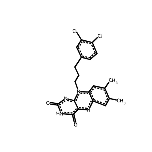 Cc1cc2nc3c(=O)[nH]c(=O)nc-3n(CCCc3ccc(Cl)c(Cl)c3)c2cc1C